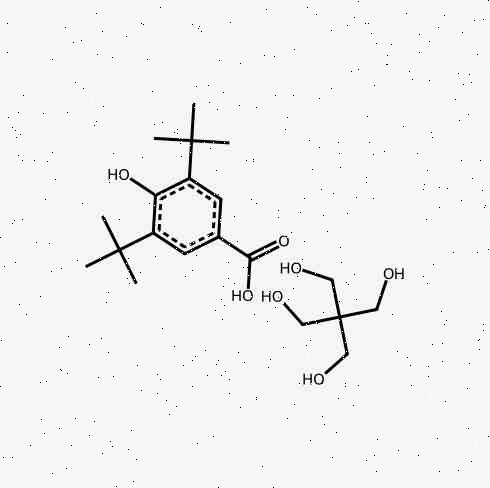 CC(C)(C)c1cc(C(=O)O)cc(C(C)(C)C)c1O.OCC(CO)(CO)CO